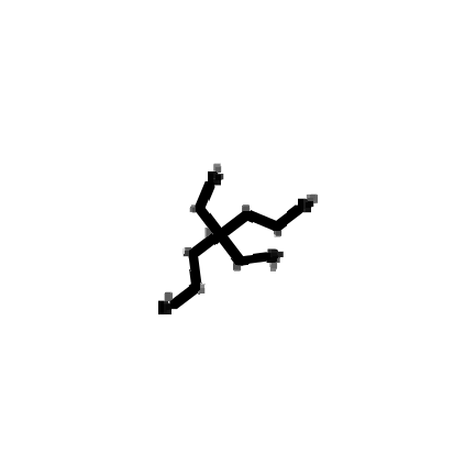 BrCCC(CBr)(CBr)CCBr